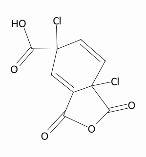 O=C1OC(=O)C2(Cl)C=CC(Cl)(C(=O)O)C=C12